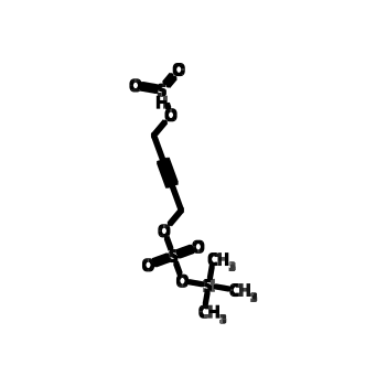 C[Si](C)(C)OS(=O)(=O)OCC#CCO[SH](=O)=O